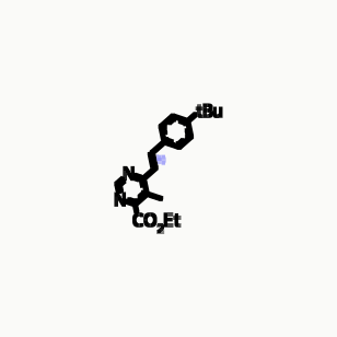 CCOC(=O)c1ncnc(/C=C/c2ccc(C(C)(C)C)cc2)c1C